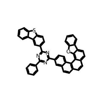 c1ccc(-c2nc(-c3ccc4c(ccc5ccc6ccc7c8ccccc8oc7c6c54)c3)nc(-c3ccc4sc5ccccc5c4c3)n2)cc1